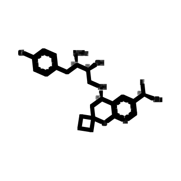 CC(=O)N[C@@H](Cc1ccc(Cl)cc1)[C@@H](O)CN[C@H]1CC2(CCC2)Oc2ncc([C@@H](F)C(C)(C)C)cc21